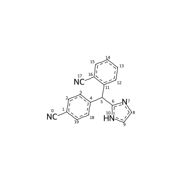 N#Cc1ccc(C(c2ncc[nH]2)c2ccccc2C#N)cc1